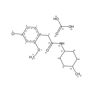 COc1cc(Cl)ccc1CC(=O)NC1CCC(C)CC1.O=C(O)O